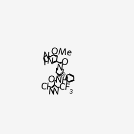 COc1cc(C(=O)N2CC[C@@H](NC(=O)c3c(C(F)(F)F)nn(C)c3Cl)[C@@H](c3ccccc3)C2)cn2c(C)cnc12